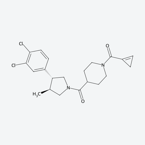 C[C@@H]1CN(C(=O)C2CCN(C(=O)C3=CC3)CC2)C[C@H]1c1ccc(Cl)c(Cl)c1